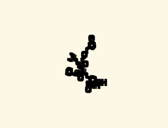 CCN(CC)CCN(CCN(CCc1ccc(O)c2[nH]c(=O)sc12)C(=O)OCc1ccccc1)C(=O)CCOCCc1cccc(OC)c1